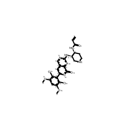 C=CC(=O)N[C@H]1CCNC[C@H]1Nc1ncc2cc(-c3c(Cl)c(OC)cc(OC)c3Cl)oc(=O)c2n1